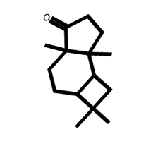 CC1(C)CC2C1CCC1(C)C(=O)CCC21C